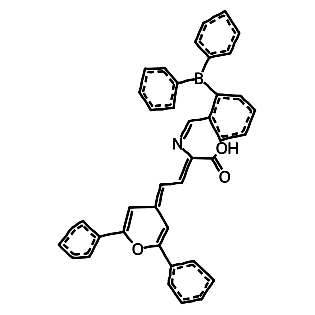 O=C(O)C(=CC=C1C=C(c2ccccc2)OC(c2ccccc2)=C1)N=Cc1ccccc1B(c1ccccc1)c1ccccc1